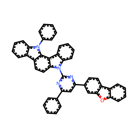 c1ccc(-c2cc(-c3ccc4c(c3)oc3ccccc34)nc(-n3c4ccccc4c4c3ccc3c5ccccc5n(-c5ccccc5)c34)n2)cc1